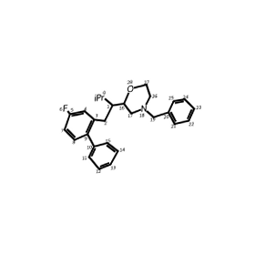 CC(C)C(Cc1cc(F)ccc1-c1ccccc1)C1CN(Cc2ccccc2)CCO1